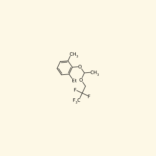 CCc1cccc(C)c1OC(C)OCC(F)(F)C(F)(F)F